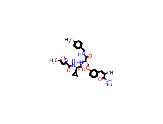 Cc1ccc(CNC(=O)[C@H](COc2cccc(C=C(C#N)C(=O)NC(C)(C)C)c2)NC(=O)[C@@H](NC(=O)c2cc(C)on2)C2CC2)cc1